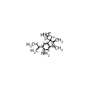 C=C(CC)c1cc2c(cc1N)N(C)C(=C)C2(CC)CC